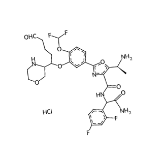 C[C@H](N)c1oc(-c2ccc(OC(F)F)c(OC(CCCC=O)C3COCCN3)c2)nc1C(=O)NC(C(N)=O)c1ccc(F)cc1F.Cl